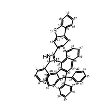 c1ccc(C2NC(c3ccc4c(c3)sc3ccccc34)=[N+]2c2c3c(cc4ccccc24)C(c2ccccc2)(c2ccccc2)c2ccccc2-3)cc1